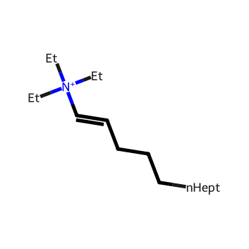 CCCCCCCCCCC=C[N+](CC)(CC)CC